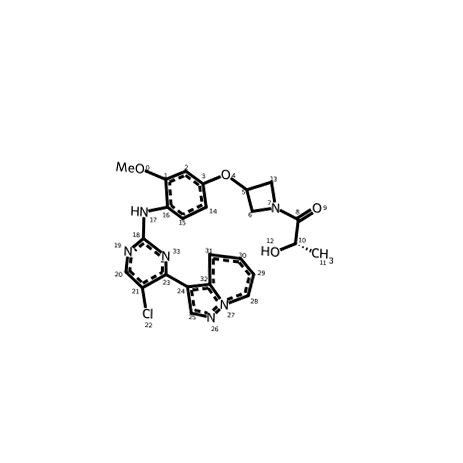 COc1cc(OC2CN(C(=O)[C@H](C)O)C2)ccc1Nc1ncc(Cl)c(-c2cnn3ccccc23)n1